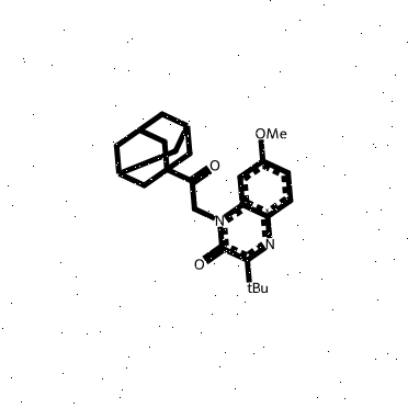 COc1ccc2nc(C(C)(C)C)c(=O)n(CC(=O)C34CC5CC(CC(C5)C3)C4)c2c1